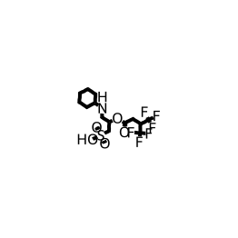 O=C(CC(C(F)(F)F)C(F)(F)F)OC(CNC1CCCCC1)CS(=O)(=O)O